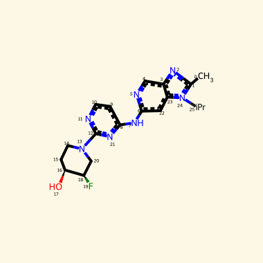 Cc1nc2cnc(Nc3ccnc(N4CC[C@H](O)[C@H](F)C4)n3)cc2n1C(C)C